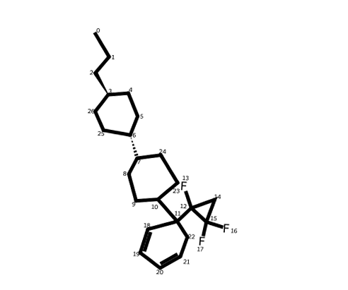 CCC[C@H]1CC[C@H](C2CCC(C3(C4(F)CC4(F)F)C=CC=CC3)CC2)CC1